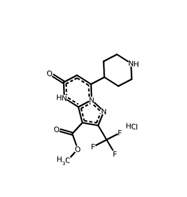 COC(=O)c1c(C(F)(F)F)nn2c(C3CCNCC3)cc(=O)[nH]c12.Cl